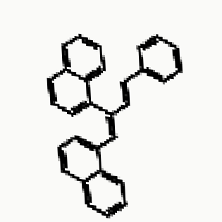 C(=Cc1ccccc1)C(=Cc1cccc2ccccc12)c1cccc2ccccc12